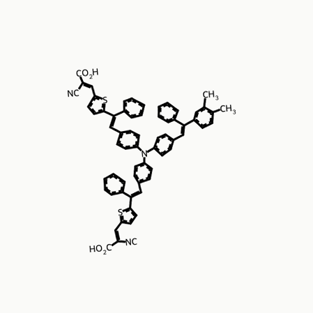 [C-]#[N+]/C(=C\c1ccc(/C(=C/c2ccc(N(c3ccc(/C=C(\c4ccccc4)c4ccc(C)c(C)c4)cc3)c3ccc(/C=C(\c4ccccc4)c4ccc(/C=C(\C#N)C(=O)O)s4)cc3)cc2)c2ccccc2)s1)C(=O)O